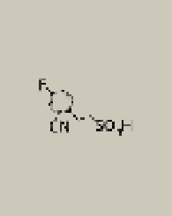 N#Cc1cc(F)ccc1CCS(=O)(=O)O